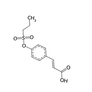 CCCS(=O)(=O)Oc1ccc(C=CC(=O)O)cc1